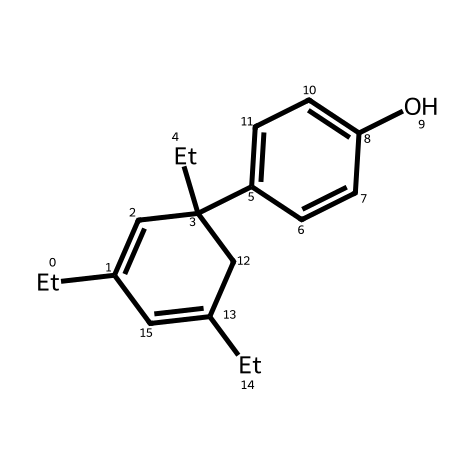 CCC1=CC(CC)(c2ccc(O)cc2)CC(CC)=C1